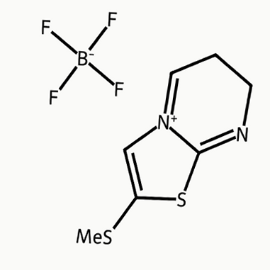 CSc1c[n+]2c(s1)=NCCC=2.F[B-](F)(F)F